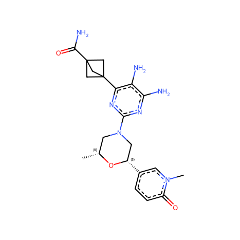 C[C@@H]1CN(c2nc(N)c(N)c(C34CC(C(N)=O)(C3)C4)n2)C[C@H](c2ccc(=O)n(C)c2)O1